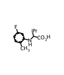 Cc1ccc(F)cc1NC(C(=O)O)C(C)C